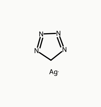 C1N=NN=N1.[Ag]